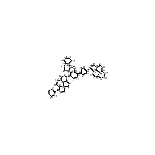 c1ccc(-c2ccc3ccc4c(-c5ccc(-c6ccc(-c7ccc8ccc9cccc%10ccc7c8c9%10)cc6)c6oc7c8ccccc8ccc7c56)ccc5ccc2c3c54)cc1